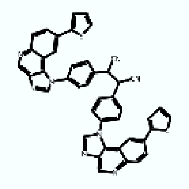 N#CC(c1ccc(-n2cnc3cnc4ccc(-c5cccs5)cc4c32)cc1)C(C#N)c1ccc(-n2cnc3cnc4ccc(-c5cccs5)cc4c32)cc1